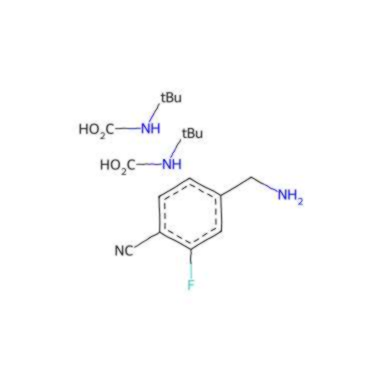 CC(C)(C)NC(=O)O.CC(C)(C)NC(=O)O.N#Cc1ccc(CN)cc1F